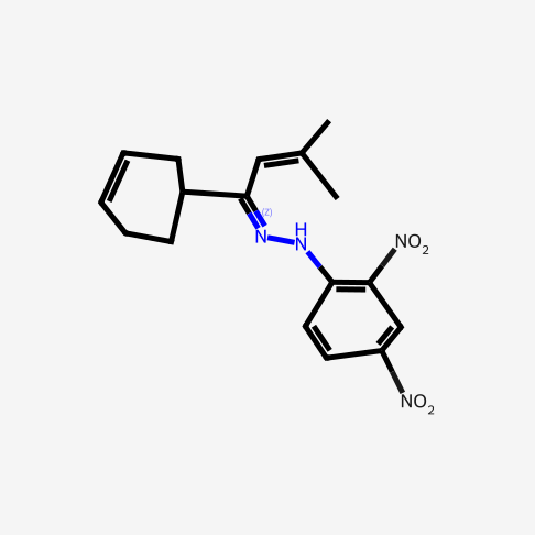 CC(C)=C/C(=N\Nc1ccc([N+](=O)[O-])cc1[N+](=O)[O-])C1CC=CCC1